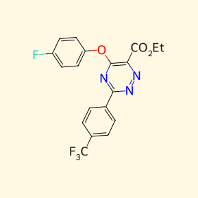 CCOC(=O)c1nnc(-c2ccc(C(F)(F)F)cc2)nc1Oc1ccc(F)cc1